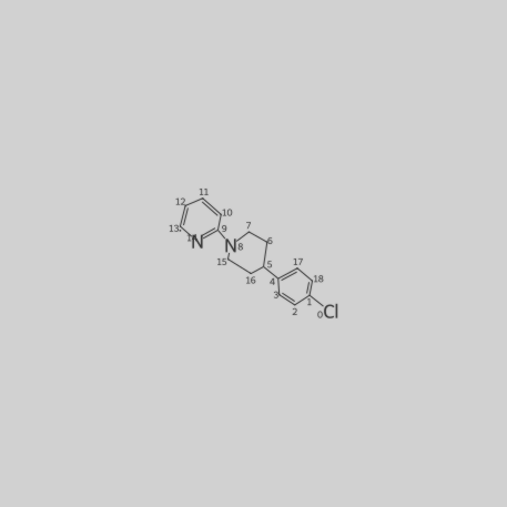 Clc1ccc(C2CCN(c3ccc[c]n3)CC2)cc1